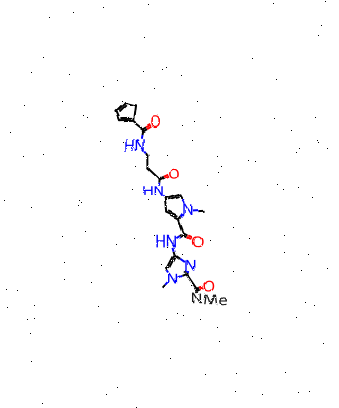 CNC(=O)c1nc(NC(=O)c2cc(NC(=O)CCNC(=O)C3=CC=CC3)cn2C)cn1C